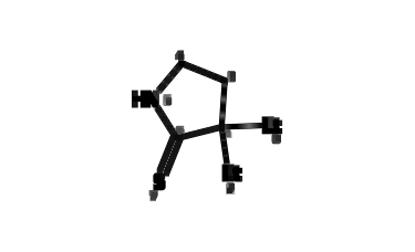 CCC1(CC)CCNC1=S